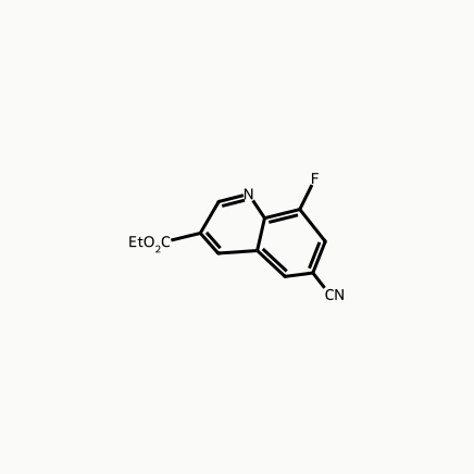 CCOC(=O)c1cnc2c(F)cc(C#N)cc2c1